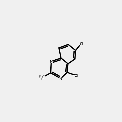 FC(F)(F)c1nc(Cl)c2cc(Cl)ccc2n1